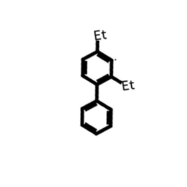 CCc1[c]c(CC)c(-c2ccccc2)cc1